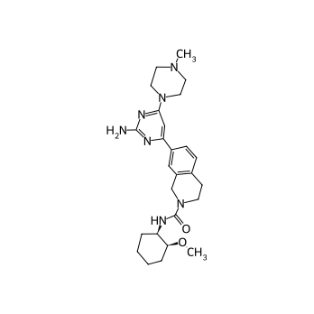 CO[C@H]1CCCC[C@H]1NC(=O)N1CCc2ccc(-c3cc(N4CCN(C)CC4)nc(N)n3)cc2C1